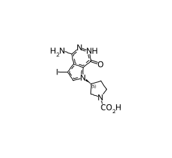 Nc1n[nH]c(=O)c2c1c(I)cn2[C@H]1CCN(C(=O)O)C1